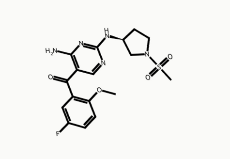 COc1ccc(F)cc1C(=O)c1cnc(N[C@H]2CCN(S(C)(=O)=O)C2)nc1N